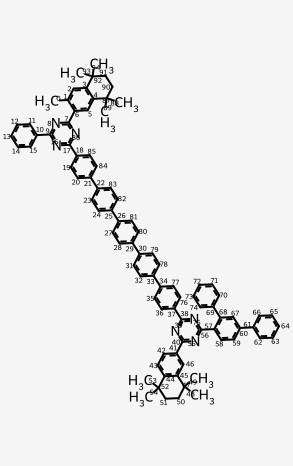 Cc1cc2c(cc1-c1nc(-c3ccccc3)nc(-c3ccc(-c4ccc(-c5ccc(-c6ccc(-c7ccc(-c8nc(-c9ccc%10c(c9)C(C)(C)CCC%10(C)C)nc(-c9ccc(-c%10ccccc%10)cc9-c9ccccc9)n8)cc7)cc6)cc5)cc4)cc3)n1)C(C)(C)CCC2(C)C